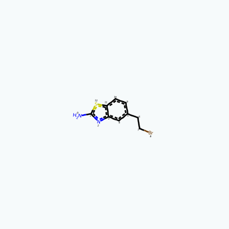 Nc1nc2cc(CCBr)ccc2s1